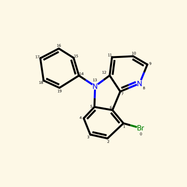 Brc1cccc2c1c1ncccc1n2-c1ccccc1